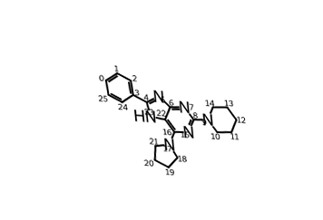 c1ccc(-c2nc3nc(N4CCCCC4)nc(N4CCCC4)c3[nH]2)cc1